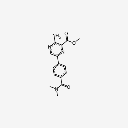 COC(=O)c1nc(-c2ccc(C(=O)N(C)C)cc2)cnc1N